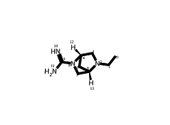 CCN1C[C@@H]2C[C@H]1CN2C(=N)N